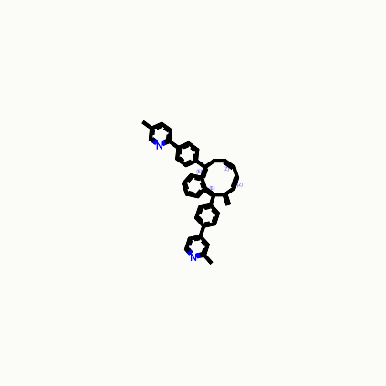 C=C1/C=C\C=C/C/C(c2ccc(-c3ccc(C)cn3)cc2)=c2/cccc/c2=C/1c1ccc(-c2ccnc(C)c2)cc1